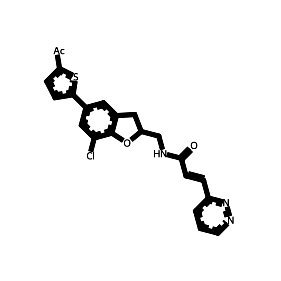 CC(=O)c1ccc(-c2cc(Cl)c3c(c2)CC(CNC(=O)C=Cc2cccnn2)O3)s1